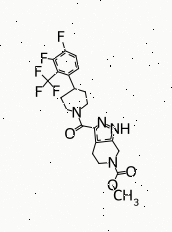 COC(=O)N1CCc2c(C(=O)N3CCC(c4ccc(F)c(F)c4C(F)(F)F)CC3)n[nH]c2C1